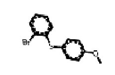 COc1ccc(Sc2ccccc2Br)cc1